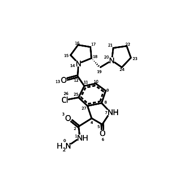 NNC(=O)C1C(=O)Nc2ccc(C(=O)N3CCC[C@@H]3CN3CCCC3)c(Cl)c21